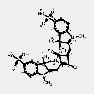 CN1/C(=C/C2=C(O)C(=C/C3=[N+](C)c4ccc(S(=O)(=O)O)cc4C3(C)C)/C2=O)C(C)(C)c2cc(S(=O)(=O)O)ccc21